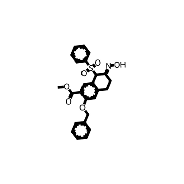 COC(=O)c1cc2c(cc1OCc1ccccc1)CCC(=NO)C2S(=O)(=O)c1ccccc1